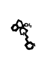 CN1CCc2ccccc2C12CCN(CCc1cccnc1)CC2